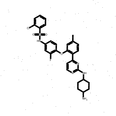 Cc1ccc(-c2ccnc(NC3CCC(N)CC3)n2)c(Oc2ccc(NS(=O)(=O)c3ccccc3Cl)cc2F)c1